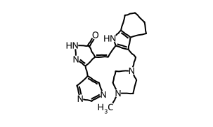 CN1CCN(Cc2c(C=C3C(=O)NN=C3c3cncnc3)[nH]c3c2CCCC3)CC1